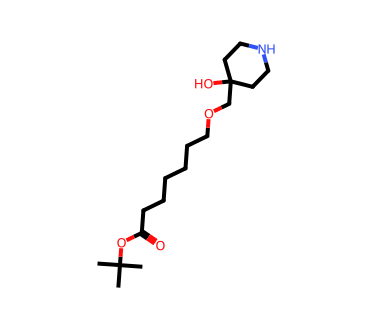 CC(C)(C)OC(=O)CCCCCCOCC1(O)CCNCC1